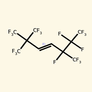 FC(F)(F)C(F)(F)C(F)(/C=C/C(C(F)(F)F)(C(F)(F)F)C(F)(F)F)C(F)(F)F